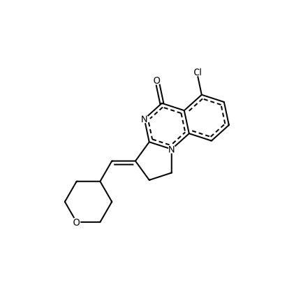 O=c1nc2n(c3cccc(Cl)c13)CC/C2=C\C1CCOCC1